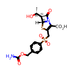 C[C@@H](O)[C@H]1C(=O)N2C(C(=O)O)=C(CS(=O)(=O)c3ccc(COC(N)=O)cc3)S[C@H]12